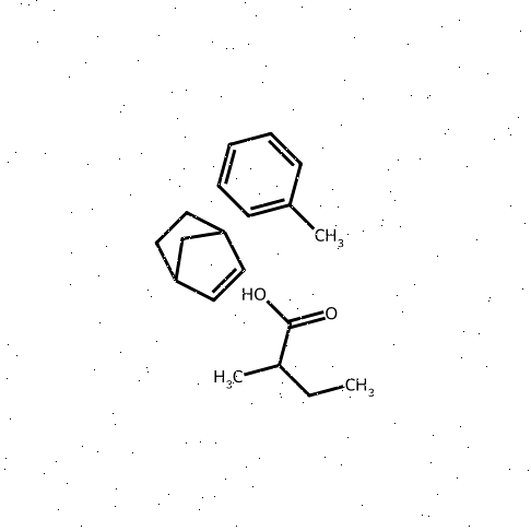 C1=CC2CCC1C2.CCC(C)C(=O)O.Cc1ccccc1